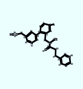 CCN(Cc1cc(C)ccc1-c1cncc(CC(=O)O)c1)C(=O)CCc1cccnc1